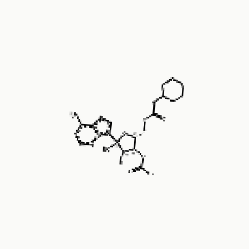 CCC(=O)O[C@H]1[C@@H](O)[C@](C#N)(c2ccc3c(N)ncnn23)O[C@@H]1COC(=O)CC1CCCCC1